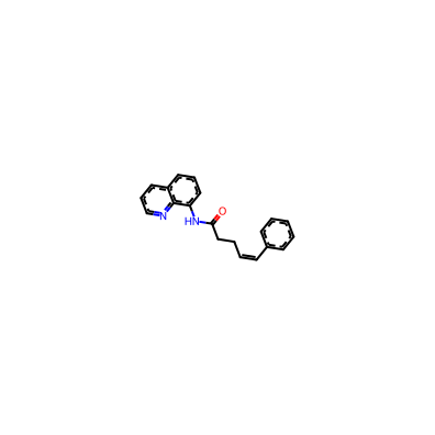 O=C(CC/C=C\c1ccccc1)Nc1cccc2cccnc12